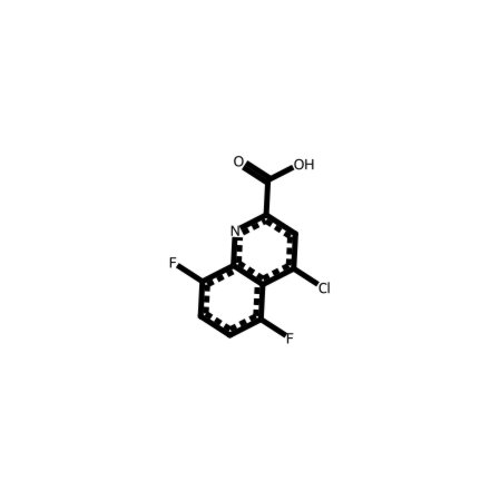 O=C(O)c1cc(Cl)c2c(F)ccc(F)c2n1